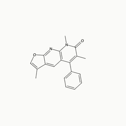 Cc1c(-c2ccccc2)c2cc3c(C)coc3nc2n(C)c1=O